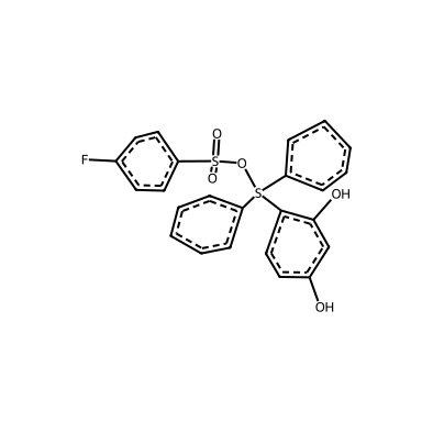 O=S(=O)(OS(c1ccccc1)(c1ccccc1)c1ccc(O)cc1O)c1ccc(F)cc1